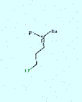 CCC(C)[SiH](CCCCl)C(C)C